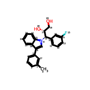 Cc1cccc(-c2cn([C@@H](c3cccc(F)c3)[C@H](O)CO)c3ccccc23)c1